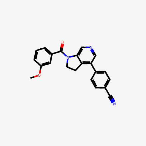 COc1cccc(C(=O)N2CCc3c(-c4ccc(C#N)cc4)cncc32)c1